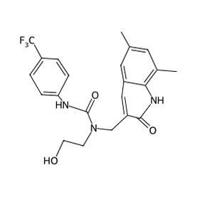 Cc1cc(C)c2[nH]c(=O)c(CN(CCO)C(=O)Nc3ccc(C(F)(F)F)cc3)cc2c1